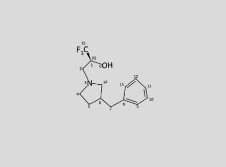 O[C@@H](CN1CCC(Cc2ccccc2)C1)C(F)(F)F